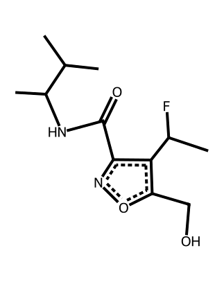 CC(F)c1c(C(=O)NC(C)C(C)C)noc1CO